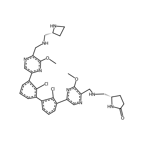 COc1nc(-c2cccc(-c3cccc(-c4cnc(CNC[C@@H]5CCC(=O)N5)c(OC)n4)c3Cl)c2Cl)cnc1CNC[C@H]1CCN1